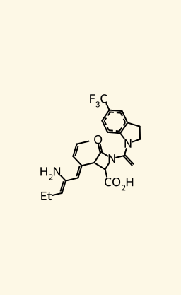 C=C(N1CCc2cc(C(F)(F)F)ccc21)N1C(=O)C(C(/C=C\C)=C/C(N)=C/CC)C1C(=O)O